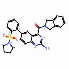 Nc1nc(C(=O)N2Cc3ccccc3C2)c2cc(-c3ccccc3S(=O)(=O)N3CCCC3)ccc2n1